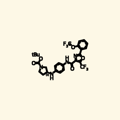 CC(C)(C)OC(=O)N1CC[C@H](Nc2ccc(NC(=O)c3nc(-c4ccccc4OC(F)(F)F)oc3C(F)(F)F)cc2)C1